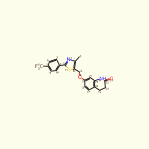 Cc1nc(-c2ccc(C(F)(F)F)cc2)sc1COc1ccc2c(c1)NC(=O)CC2